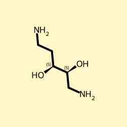 NCC[C@H](O)[C@@H](O)CN